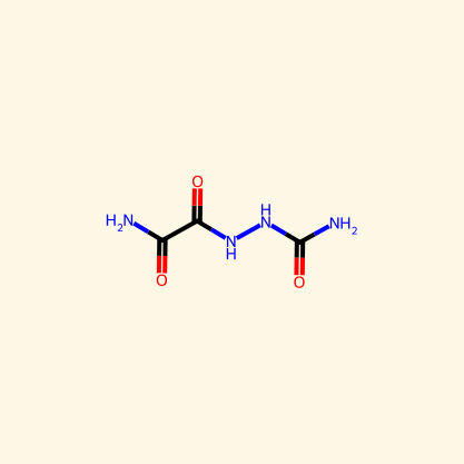 NC(=O)NNC(=O)C(N)=O